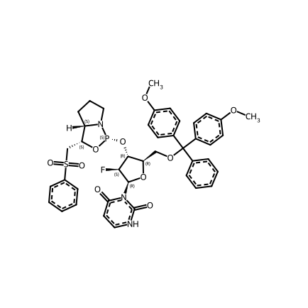 COc1ccc(C(OC[C@H]2O[C@@H](n3c(=O)cc[nH]c3=O)[C@@H](F)[C@@H]2O[P@]2O[C@H](CS(=O)(=O)c3ccccc3)[C@@H]3CCCN32)(c2ccccc2)c2ccc(OC)cc2)cc1